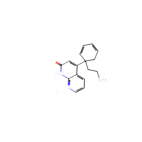 CNCCC1(c2cc(=O)[nH]c3ncccc23)C=CC=CC1.Cl